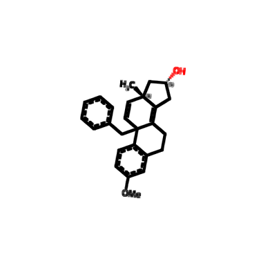 COc1ccc2c(c1)CCC1=C3C[C@@H](O)C[C@@]3(C)C=CC12Cc1ccccc1